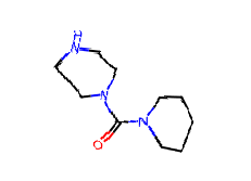 O=C(N1CCCCC1)N1CCNCC1